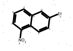 CCc1ccc2c([N+](=O)[O-])cccc2c1